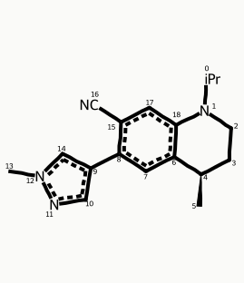 CC(C)N1CC[C@@H](C)c2cc(-c3cnn(C)c3)c(C#N)cc21